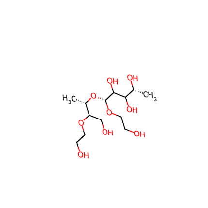 C[C@H](O[C@@H](OCCO)C(O)C(O)[C@@H](C)O)C(CO)OCCO